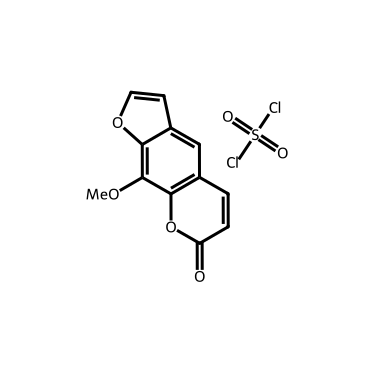 COc1c2occc2cc2ccc(=O)oc12.O=S(=O)(Cl)Cl